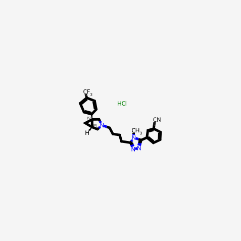 Cl.Cn1c(CCCCN2C[C@@H]3C[C@]3(c3ccc(C(F)(F)F)cc3)C2)nnc1-c1cccc(C#N)c1